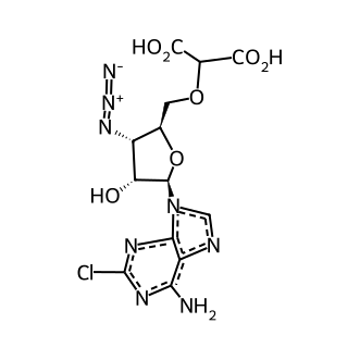 [N-]=[N+]=N[C@H]1[C@@H](O)[C@H](n2cnc3c(N)nc(Cl)nc32)O[C@@H]1COC(C(=O)O)C(=O)O